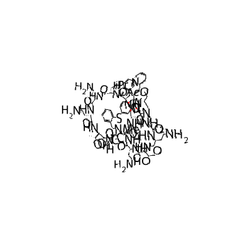 CNC(=O)c1ccccc1Sc1ccc2c(/C=C/c3ccccn3)nn(C(=O)N(CCCOC(C)=O)CCC(=O)N[C@@H](CCN)C(=O)N[C@H](C(=O)N[C@@H](CCN)C(=O)N[C@H]3CCNC(=O)[C@H]([C@@H](C)O)NC(=O)[C@H](CCN)NC(=O)[C@H](CCN)NC(=O)[C@H](CC(C)C)NC(=O)[C@@H](Cc4ccccc4)NC(=O)[C@H](CCN)NC3=O)[C@@H](C)O)c2c1